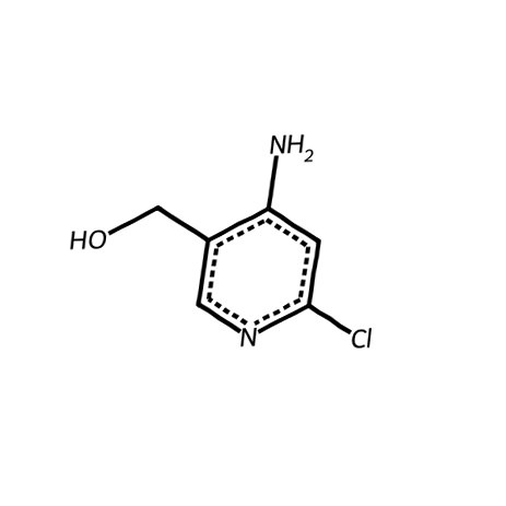 Nc1cc(Cl)ncc1CO